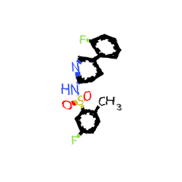 Cc1ccc(F)cc1S(=O)(=O)Nc1ccc(-c2ccccc2F)cn1